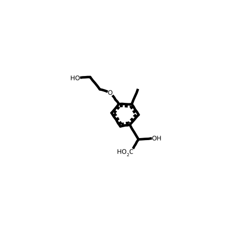 Cc1cc(C(O)C(=O)O)ccc1OCCO